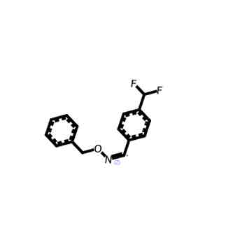 FC(F)c1ccc(/[C]=N\OCc2ccccc2)cc1